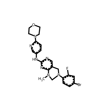 CN1CN(c2ccc(Br)cc2F)Cc2cnc(Nc3ccc(N4CCOCC4)nc3)nc21